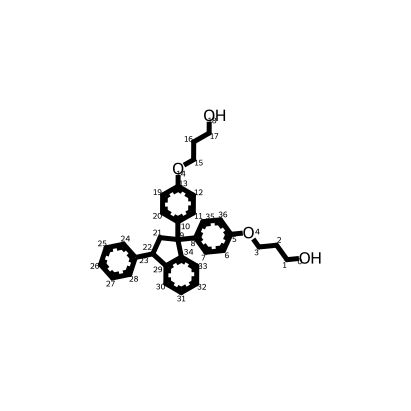 OCCCOc1ccc(C2(c3ccc(OCCCO)cc3)CC(c3ccccc3)c3ccccc32)cc1